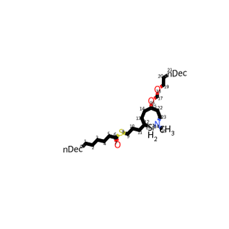 CCCCCCCCCCCCCCCC(=O)SCCCC1CCC(OCOCCCCCCCCCCCC)CCN(C)[SiH2]1